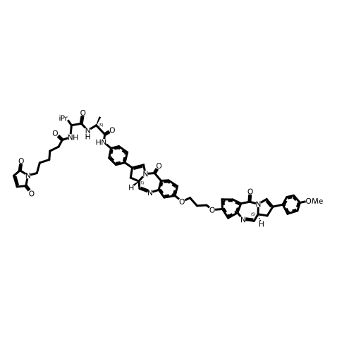 COc1ccc(C2=CN3C(=O)c4ccc(OCCCOc5ccc6c(c5)N=C[C@@H]5CC(c7ccc(NC(=O)[C@H](C)NC(=O)C(NC(=O)CCCCCN8C(=O)C=CC8=O)C(C)C)cc7)=CN5C6=O)cc4N=C[C@@H]3C2)cc1